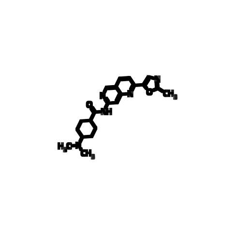 Cc1ncc(-c2ccc3cnc(NC(=O)C4CCC(N(C)C)CC4)cc3n2)o1